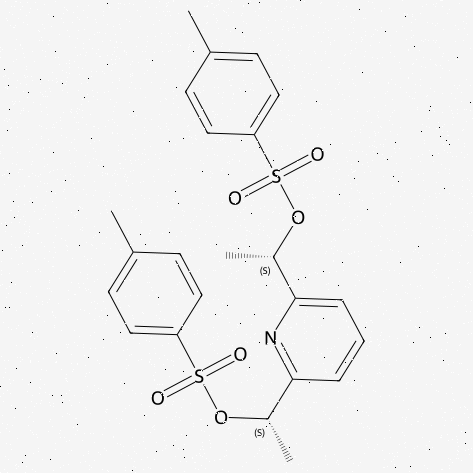 Cc1ccc(S(=O)(=O)O[C@@H](C)c2cccc([C@H](C)OS(=O)(=O)c3ccc(C)cc3)n2)cc1